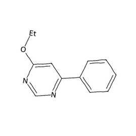 CCOc1cc(-c2ccccc2)ncn1